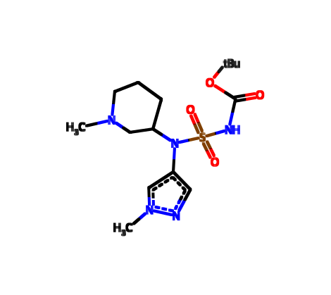 CN1CCCC(N(c2cnn(C)c2)S(=O)(=O)NC(=O)OC(C)(C)C)C1